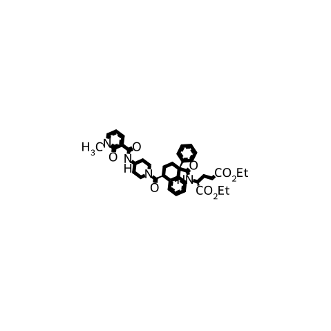 CCOC(=O)CC[C@H](NC(=O)[C@@]1(c2ccccc2)CC[C@H](C(=O)N2CCC(NC(=O)c3cccn(C)c3=O)CC2)c2ccccc21)C(=O)OCC